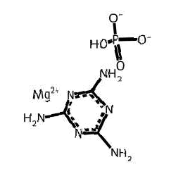 Nc1nc(N)nc(N)n1.O=P([O-])([O-])O.[Mg+2]